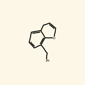 [CH2]C(C)Cc1cccc2c1OC=CC2